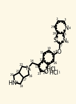 Cl.Cl.c1cnc2nc(Oc3ccc4c(CN5CC6CNCC6C5)coc4c3)sc2c1